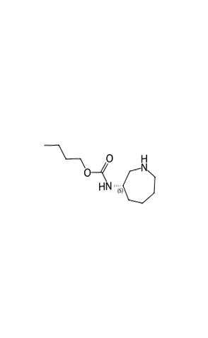 CCCCOC(=O)N[C@H]1CCCCNC1